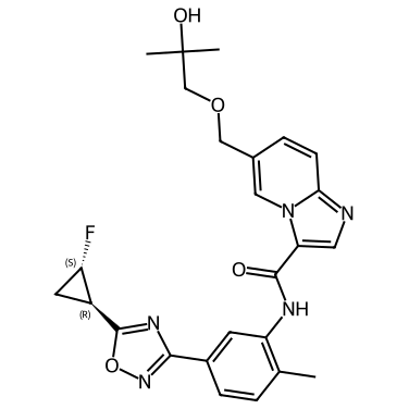 Cc1ccc(-c2noc([C@H]3C[C@@H]3F)n2)cc1NC(=O)c1cnc2ccc(COCC(C)(C)O)cn12